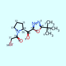 CC(C)(C)c1nnc(C(=O)[C@@H]2CCCN2C(=O)CBr)o1